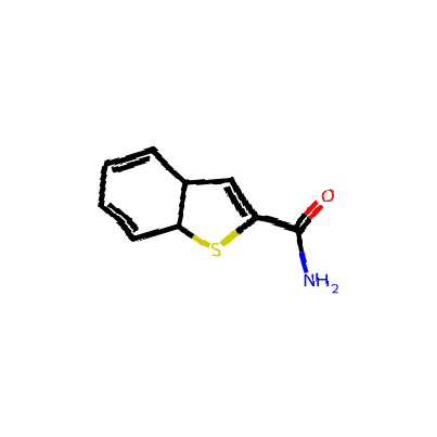 NC(=O)C1=CC2C=CC=CC2S1